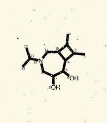 CC1C(C)C2C(O)C(O)CN(C(C)C)CC12